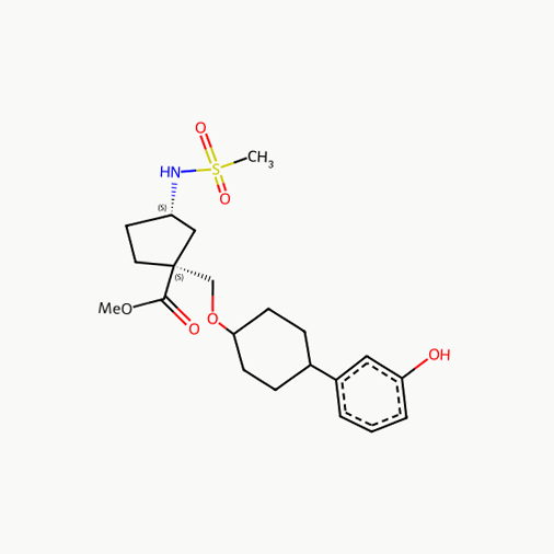 COC(=O)[C@@]1(COC2CCC(c3cccc(O)c3)CC2)CC[C@H](NS(C)(=O)=O)C1